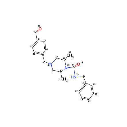 CC1CN(Cc2ccc(C=O)cc2)CC(C)N1C(=O)NCc1ccccc1